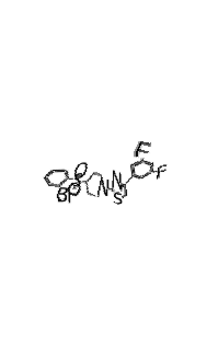 O=S(=O)(c1ccccc1Br)C1CCN(c2nc(-c3cc(F)cc(F)c3)cs2)CC1